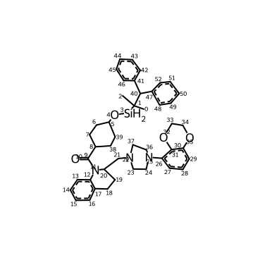 CC(C)([SiH2]OC1CCC(C(=O)N2c3ccccc3CCC2CN2CCN(c3cccc4c3OCCO4)CC2)CC1)C(c1ccccc1)c1ccccc1